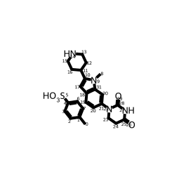 Cc1ccc(S(=O)(=O)O)cc1.Cn1c(C2CCNCC2)cc2ccc(N3CCC(=O)NC3=O)cc21